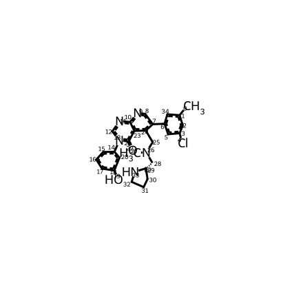 Cc1cc(Cl)cc(-c2cnc3ncn(-c4cccc(O)c4)c(=O)c3c2CN(C)C[C@@H]2CCCN2)c1